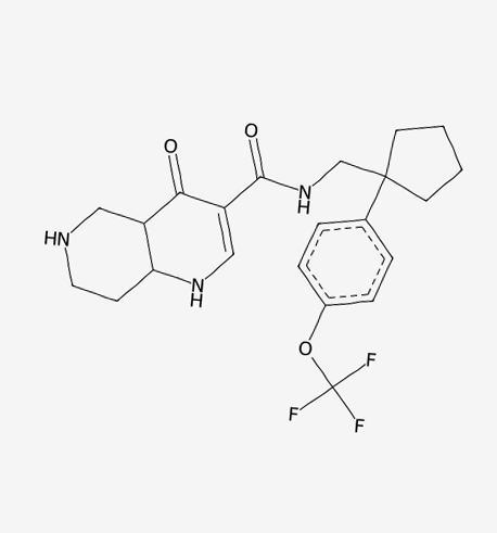 O=C(NCC1(c2ccc(OC(F)(F)F)cc2)CCCC1)C1=CNC2CCNCC2C1=O